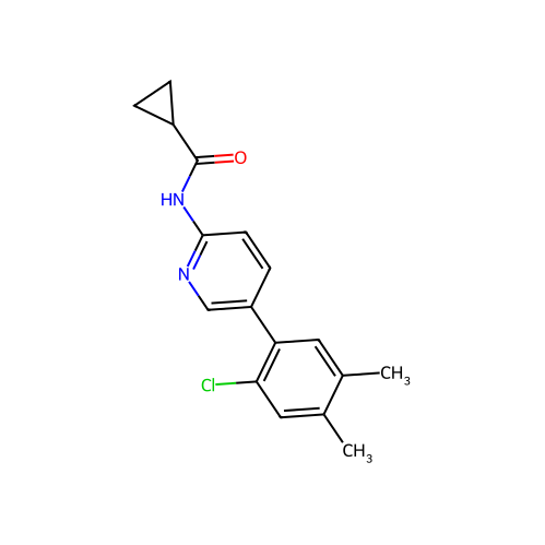 Cc1cc(Cl)c(-c2ccc(NC(=O)C3CC3)nc2)cc1C